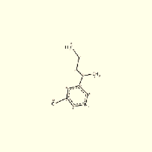 CCCC(C)c1cncc(Cl)c1